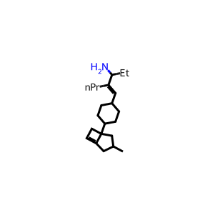 CCC/C(=C\C1CCC(C23CC=C2CC(C)C3)CC1)C(N)CC